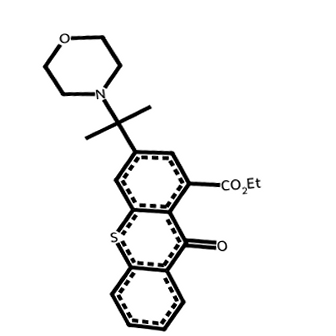 CCOC(=O)c1cc(C(C)(C)N2CCOCC2)cc2sc3ccccc3c(=O)c12